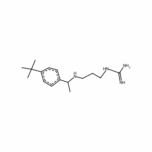 CC(NCCCNC(=N)N)c1ccc(C(C)(C)C)cc1